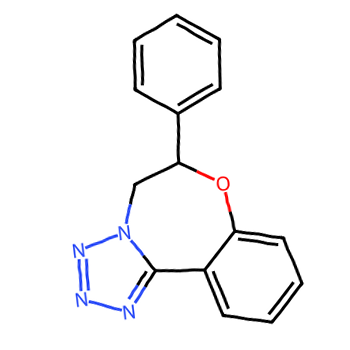 c1ccc(C2Cn3nnnc3-c3ccccc3O2)cc1